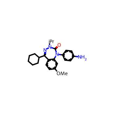 COc1ccc2c(c1)N(c1ccc(N)cc1)C(=O)N(C(C)C)N=C2C1CCCCC1